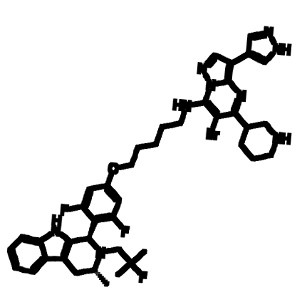 C[C@@H]1Cc2c([nH]c3ccccc23)[C@@H](c2c(F)cc(OCCCCCNc3c(Br)c(C4CCCNC4)nc4c(-c5cn[nH]c5)cnn34)cc2F)N1CC(C)(C)F